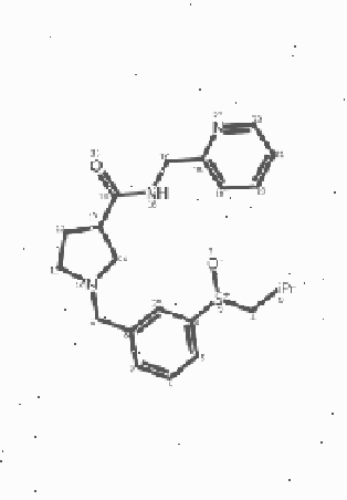 CC(C)C[S+]([O-])c1cccc(CN2CCC(C(=O)NCc3ccccn3)C2)c1